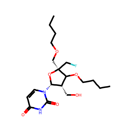 CCCCOC[C@@]1(CF)O[C@@H](n2ccc(=O)[nH]c2=O)[C@@H](CO)C1OCCCC